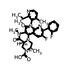 Cc1ccnc(C(C)C)c1-n1c(=O)c2c(c3cc(F)c(-c4ccccc4F)nc31)N1C[C@@H](C)N(C(=O)O)C[C@@H]1C(=O)N2C